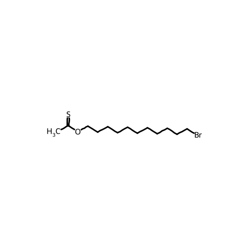 CC(=S)OCCCCCCCCCCCBr